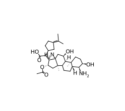 CC(=O)O[C@H]1C[C@]2(C)C3CC[C@H]4[C@H](N)[C@H](O)CC[C@]4(C)[C@@H]3[C@H](O)C[C@@]2(N)/C1=C(/C(=O)O)C1CCC(=C(C)C)C1